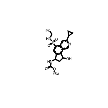 CC(C)CNS(=O)(=O)c1cc2c(c3cnc(C4CC4)cc13)C(O)CC2NC(=O)OC(C)(C)C